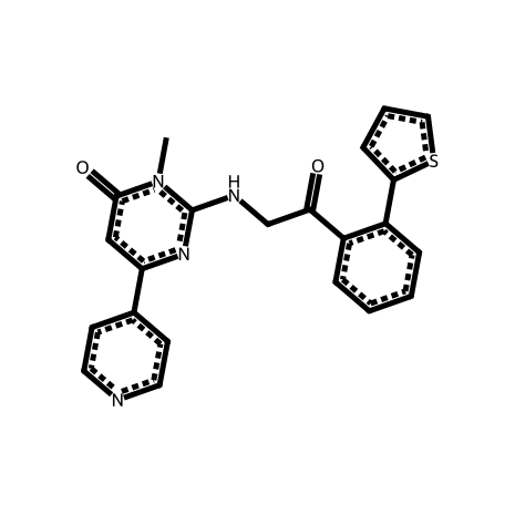 Cn1c(NCC(=O)c2ccccc2-c2cccs2)nc(-c2ccncc2)cc1=O